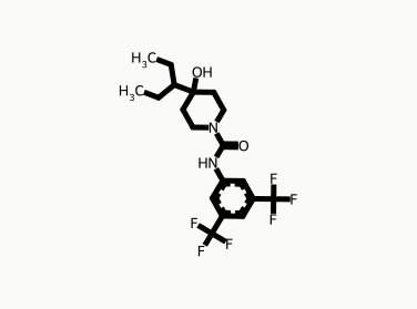 CCC(CC)C1(O)CCN(C(=O)Nc2cc(C(F)(F)F)cc(C(F)(F)F)c2)CC1